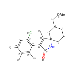 COCC1CCCC2(C1)NC(=O)C(c1c(Cl)cc(C)c(C)c1C)=C2C